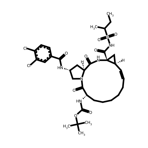 CCC(C)S(=O)(=O)NC(=O)[C@@]12C[C@H]1/C=C\CCCCC[C@H](NC(=O)OC(C)(C)C)C(=O)N1C[C@H](NC(=O)c3ccc(Cl)c(Cl)c3)C[C@H]1C(=O)N2